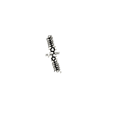 N[C@@H](c1ccc(C(F)(F)C(F)(F)C(F)(F)C(F)(F)C(F)(F)C(F)(F)F)cc1)[C@H](O)c1ccc(C(F)(F)C(F)(F)C(F)(F)C(F)(F)C(F)(F)C(F)(F)F)cc1